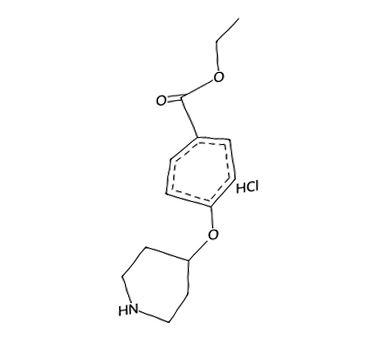 CCOC(=O)c1ccc(OC2CCNCC2)cc1.Cl